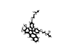 C=CC(=O)OCCOc1ccc(C2(c3ccc(OCCOC(=O)C=C)cc3)c3cc(OC)c(OC)cc3-c3cc4ccccc4cc32)cc1